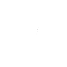 CCOC(=O)N1CCCC(CCCO)C1